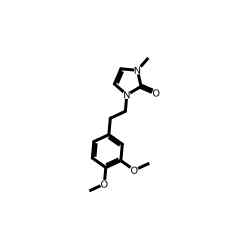 COc1ccc(CCn2ccn(C)c2=O)cc1OC